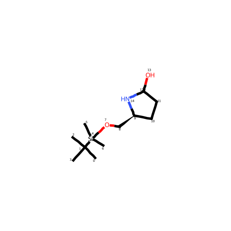 CC(C)(C)[Si](C)(C)OC[C@@H]1CCC(O)N1